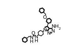 Nc1ncnc2c1c(-c1cccc(OCc3ccccc3)c1)cn2C1CCC(NC(=O)NCc2ccccc2)CC1